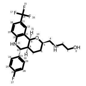 OCCNC[C@H]1CC[C@@H]2[C@H](O1)c1cc(C(F)(F)F)ccc1N[C@H]2c1ccc(F)cc1